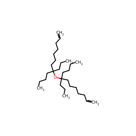 C=CCCCCCC(CCC)(CCCC)OC(CCC)(CCCC)CCCCCC=C